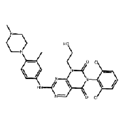 Cc1cc(Nc2ncc3c(=O)n(-c4c(Cl)cccc4Cl)c(=O)n(CCO)c3n2)ccc1N1CCN(C)CC1